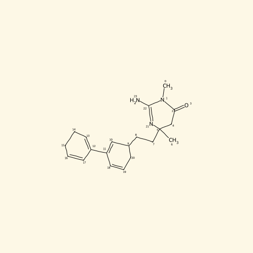 CN1C(=O)CC(C)(CCC2C=C(C3=CCCC=C3)C=CC2)N=C1N